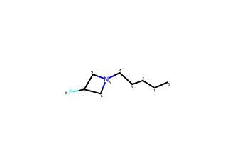 CCCCCN1CC(F)C1